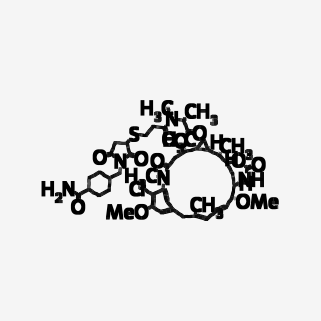 COc1cc2cc(c1Cl)N(C)C(=O)C[C@H](OC(=O)[C@H](C)N(C)C(=O)CCSC1CC(=O)N(CC3CCC(C(N)=O)CC3)C1=O)[C@@]1(C)C[C@H]1[C@H](C)[C@@H]1C[C@@H](NC(=O)O1)[C@H](OC)/C=C/C=C(\C)C2